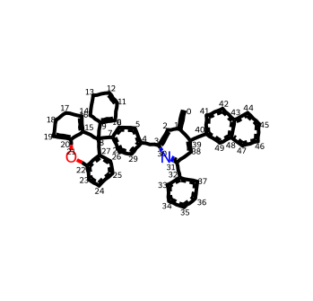 C=C1C=C(c2ccc(C3(C4=CC=CCC4)C4=CCCC=C4Oc4ccccc43)cc2)N=C(c2ccccc2)C=C1c1ccc2ccccc2c1